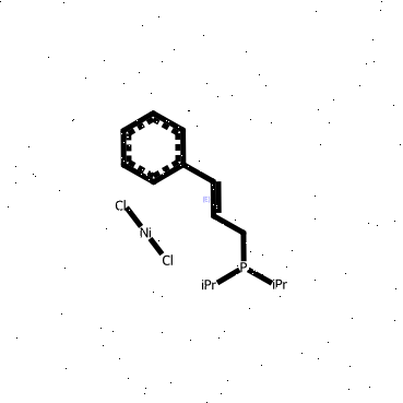 CC(C)P(C/C=C/c1ccccc1)C(C)C.[Cl][Ni][Cl]